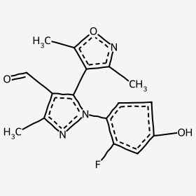 Cc1nn(-c2ccc(O)cc2F)c(-c2c(C)noc2C)c1C=O